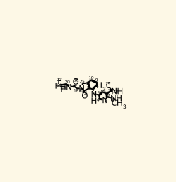 CNc1ncc(Nc2cccc3c2C(=O)N(CC(=O)NCC(F)(F)F)C3)cc1C(C)=N